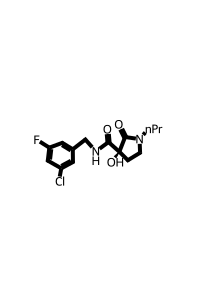 CCCN1CC[C@](O)(C(=O)NCc2cc(F)cc(Cl)c2)C1=O